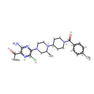 CC[C@H]1CN(c2nc(N)c(C(=O)NC)nc2Cl)CCN1C1CCN(C(=O)c2ccc(C#N)cc2)CC1